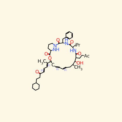 CC(=O)CCC1C(=O)NC(C(C)C)C(=O)NC(Cc2ccccc2)C(=O)N2CCCC(N2)C(=O)O[C@H](/C(C)=C/C=C/C(=O)CCC2CCCCC2)C/C=C/C=C/CC(C)C1O